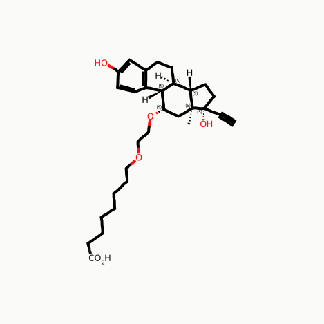 C#C[C@]1(O)CC[C@H]2[C@@H]3CCc4cc(O)ccc4[C@H]3[C@@H](OCCOCCCCCCCC(=O)O)C[C@@]21C